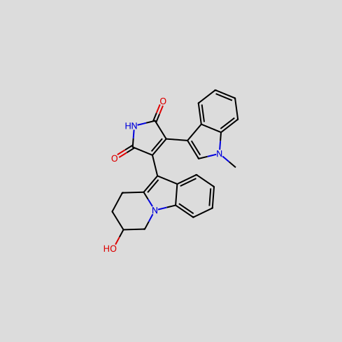 Cn1cc(C2=C(c3c4n(c5ccccc35)CC(O)CC4)C(=O)NC2=O)c2ccccc21